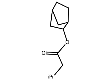 CC(C)CC(=O)OC1CC2CCC1C2